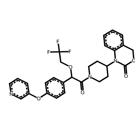 O=C(C(OCC(F)(F)F)c1ccc(Oc2cccnc2)cc1)N1CCC(N2C(=O)OCc3ccccc32)CC1